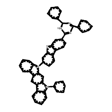 c1ccc(C2=NC(c3ccccc3)NC(c3ccc4c(c3)oc3cc(-n5c6ccccc6c6cc7c8ccccc8n(-c8ccccc8)c7cc65)ccc34)=N2)cc1